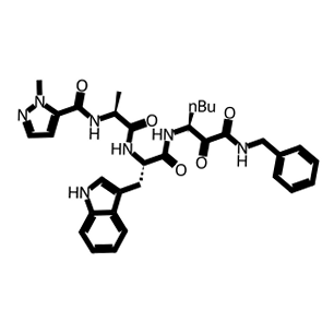 CCCC[C@H](NC(=O)[C@H](Cc1c[nH]c2ccccc12)NC(=O)[C@H](C)NC(=O)c1ccnn1C)C(=O)C(=O)NCc1ccccc1